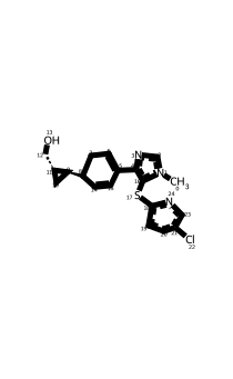 Cn1cnc(C2=CCC([C@H]3C[C@@H]3CO)C=C2)c1Sc1ccc(Cl)cn1